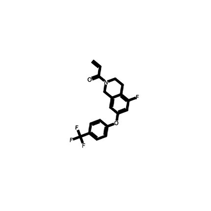 C=CC(=O)N1CCc2c(F)cc(Oc3ccc(C(F)(F)F)cc3)cc2C1